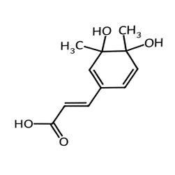 CC1(O)C=CC(C=CC(=O)O)=CC1(C)O